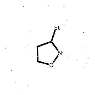 CCC1CCO[N]1